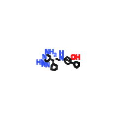 Nc1cc([C@H](CCNC23CCC(c4ccccc4)(CC2)C(O)C3)c2ccccc2)c2nn[nH]c2n1